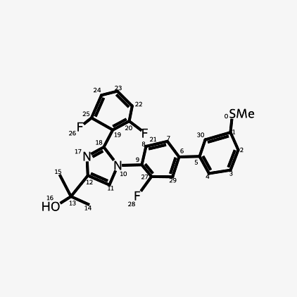 CSc1cccc(-c2ccc(-n3cc(C(C)(C)O)nc3-c3c(F)cccc3F)c(F)c2)c1